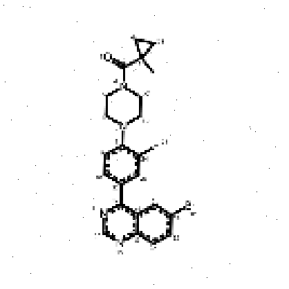 CC1(C(=O)N2CCN(c3ccc(-c4ncnc5ccc(Br)cc45)cc3F)CC2)CC1